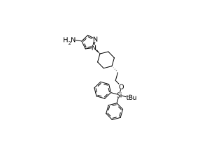 CC(C)(C)[Si](OCC[C@H]1CC[C@H](n2cc(N)cn2)CC1)(c1ccccc1)c1ccccc1